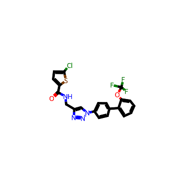 O=C(NCc1cn(-c2ccc(-c3ccccc3OC(F)(F)F)cc2)nn1)c1ccc(Cl)s1